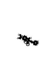 CCN(CC)c1ccc2c(C)c(C#Cc3ccccc3)c(=O)oc2c1